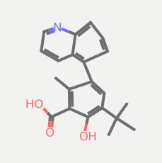 Cc1c(-c2cccc3ncccc23)cc(C(C)(C)C)c(O)c1C(=O)O